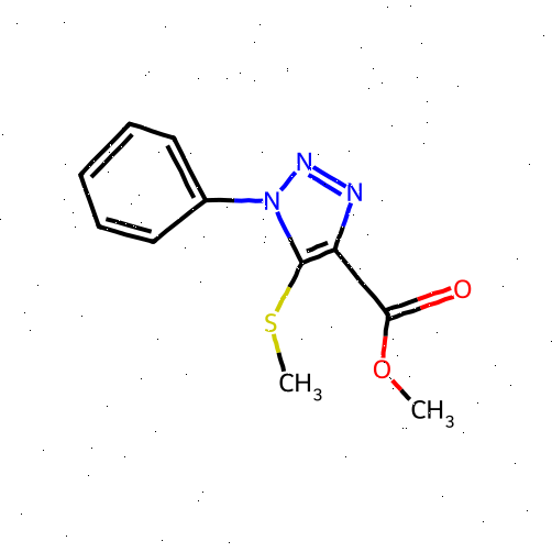 COC(=O)c1nnn(-c2ccccc2)c1SC